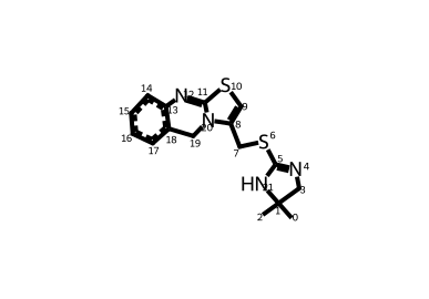 CC1(C)CN=C(SCC2=CSC3=Nc4ccccc4CN23)N1